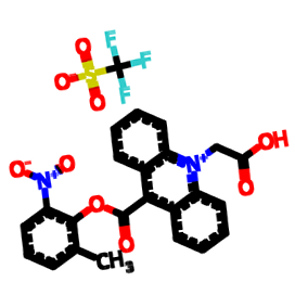 Cc1cccc([N+](=O)[O-])c1OC(=O)c1c2ccccc2[n+](CC(=O)O)c2ccccc12.O=S(=O)([O-])C(F)(F)F